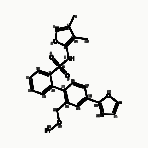 Cc1noc(NS(=O)(=O)c2ccccc2-c2ccc(-c3ncco3)cc2COC(C)C)c1C